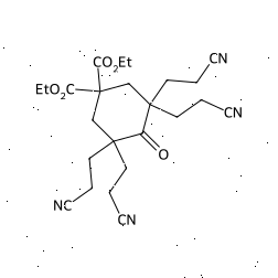 CCOC(=O)C1(C(=O)OCC)CC(CCC#N)(CCC#N)C(=O)C(CCC#N)(CCC#N)C1